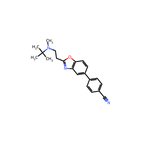 CN(CCc1nc2cc(-c3ccc(C#N)cc3)ccc2o1)C(C)(C)C